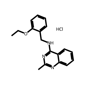 CCOc1ccccc1CNc1nc(C)nc2ccccc12.Cl